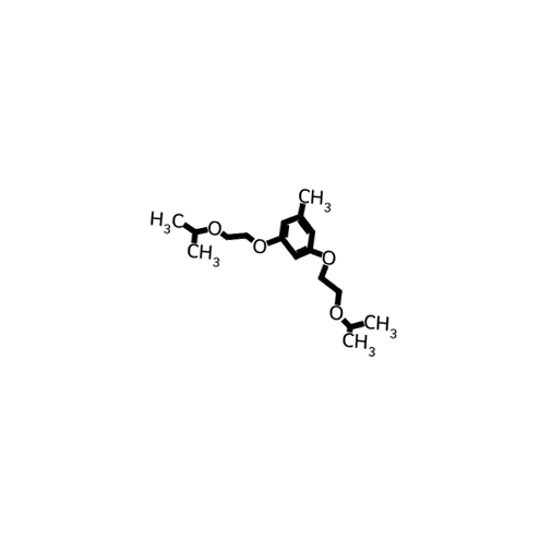 Cc1cc(OCCOC(C)C)cc(OCCOC(C)C)c1